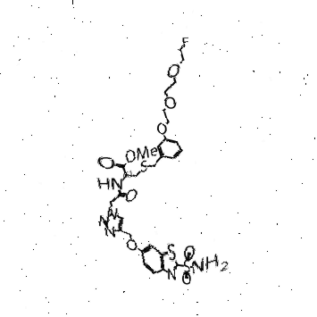 COC(=O)[C@@H](CSCc1cccc(OCCOCCOCCF)c1)NC(=O)Cn1cc(COc2ccc3nc(S(N)(=O)=O)sc3c2)nn1